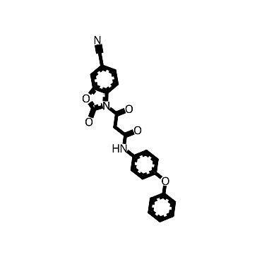 N#Cc1ccc2c(c1)oc(=O)n2C(=O)CC(=O)Nc1ccc(Oc2ccccc2)cc1